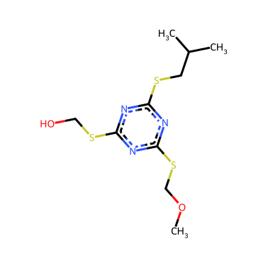 COCSc1nc(SCO)nc(SCC(C)C)n1